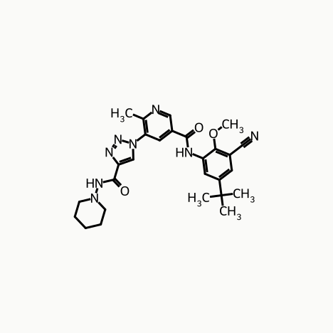 COc1c(C#N)cc(C(C)(C)C)cc1NC(=O)c1cnc(C)c(-n2cc(C(=O)NN3CCCCC3)nn2)c1